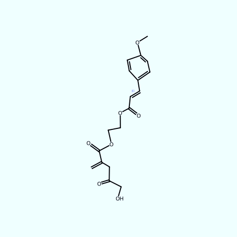 C=C(CC(=O)CO)C(=O)OCCOC(=O)/C=C/c1ccc(OC)cc1